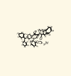 O=C(N[C@@H](CSc1ncccc1C(=O)O)C(=O)N1CCN(C(c2ccccc2)c2ccccc2)CC1)c1cc2ccccc2[nH]1